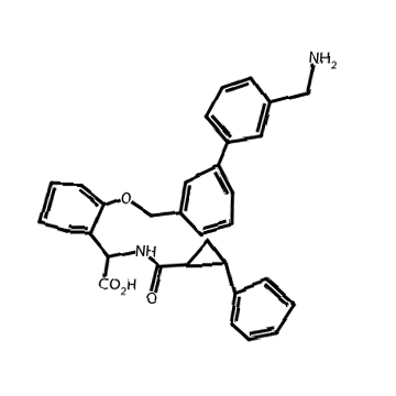 NCc1cccc(-c2cccc(COc3ccccc3C(NC(=O)C3CC3c3ccccc3)C(=O)O)c2)c1